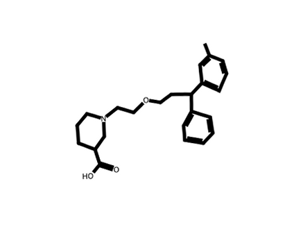 Cc1cccc(C(CCOCCN2CCCC(C(=O)O)C2)c2ccccc2)c1